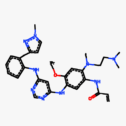 C=CC(=O)Nc1cc(Nc2cc(Nc3ccccc3-c3ccn(C)n3)ncn2)c(OC(C)C)cc1N(C)CCN(C)C